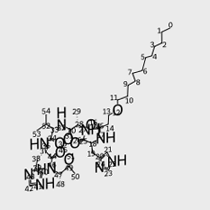 CCCCCCCCCCCCOCCC(=O)N[C@@H](Cc1c[nH]cn1)C(=O)N[C@@H](C)C(=O)N[C@H](C(=O)N[C@@H](Cc1c[nH]cn1)C(=O)N[C@@H](C)C(C)=O)C(C)C